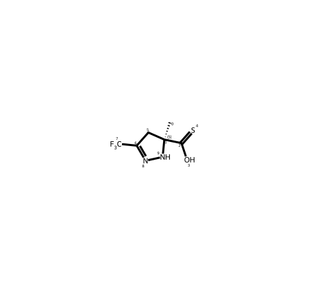 C[C@@]1(C(O)=S)CC(C(F)(F)F)=NN1